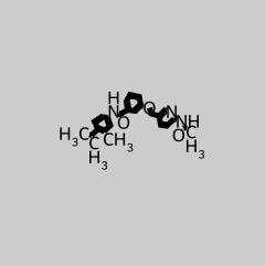 CC(=O)Nc1ccc(COc2cccc(C(=O)Nc3ccc(C(C)C)c(C)c3)c2)cn1